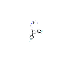 CN(C)C[C@H]1CN[C@H](CNC(=O)c2cc(-c3ccc(F)cc3)cc(-c3ccc(F)cc3)c2)C1